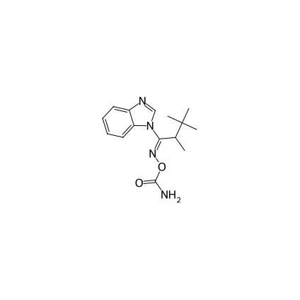 CC(C(=NOC(N)=O)n1cnc2ccccc21)C(C)(C)C